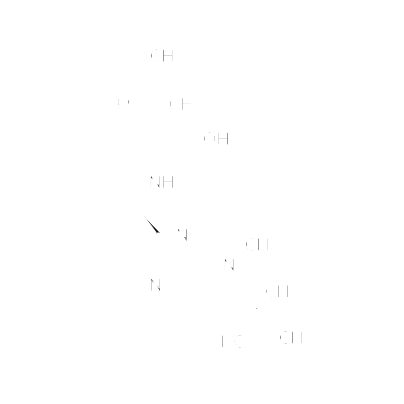 CC(C)O[C@H]1CCC[C@H](c2cnc3cc(C(C)(C)C)n(C)c3n2)N[C@H]1CO